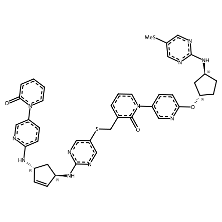 CSc1cnc(N[C@H]2CC[C@H](Oc3ccc(-n4cccc(CSc5cnc(N[C@H]6C=C[C@H](Nc7ccc(-n8ccccc8=O)cn7)C6)nc5)c4=O)cn3)C2)nc1